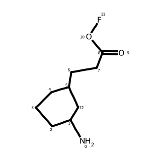 NC1CCCC(CCC(=O)OF)C1